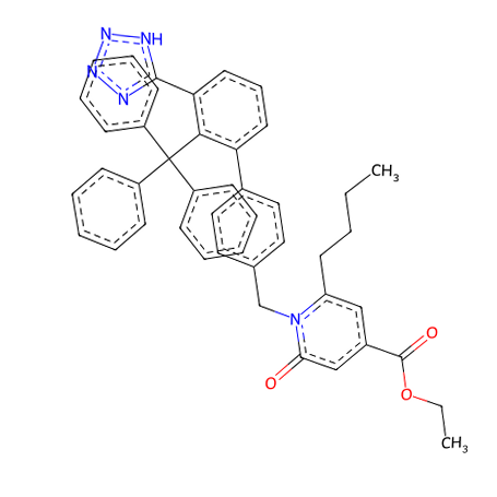 CCCCc1cc(C(=O)OCC)cc(=O)n1Cc1ccc(-c2cccc(-c3nnn[nH]3)c2C(c2ccccc2)(c2ccccc2)c2ccccc2)cc1